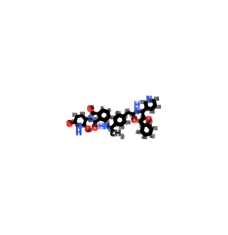 CC(Nc1cccc2c1C(=O)N(C1CCC(=O)NC1=O)C2=O)c1ccc(CC(=O)NC(c2cccnc2)c2cc3ccccc3o2)cc1